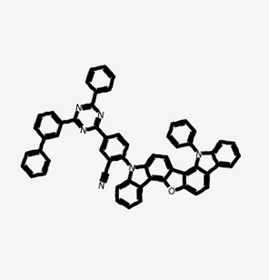 N#Cc1cc(-c2nc(-c3ccccc3)nc(-c3cccc(-c4ccccc4)c3)n2)ccc1-n1c2ccccc2c2c3oc4ccc5c6ccccc6n(-c6ccccc6)c5c4c3ccc21